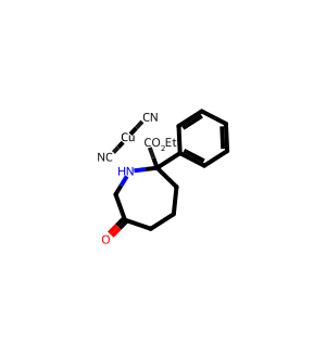 CCOC(=O)C1(c2ccccc2)CCCC(=O)CN1.N#[C][Cu][C]#N